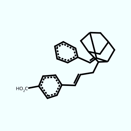 O=C(O)c1ccc(C=CCC2C3CC4CC(C3)C(=Cc3ccccc3)C2C4)cc1